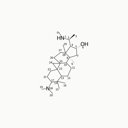 CN[C@@H](C)C1[C@H](O)C[C@@]2(C)C3CCC4C(C)(C)C(N(C)C)CCC45CC35CCC12C